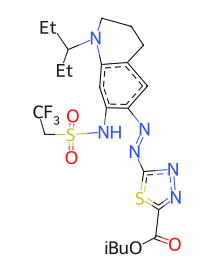 CCC(CC)N1CCCc2cc(N=Nc3nnc(C(=O)OCC(C)C)s3)c(NS(=O)(=O)CC(F)(F)F)cc21